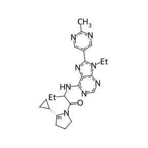 CCC(Nc1ncnc2c1nc(-c1cnc(C)nc1)n2CC)C(=O)N1CCC[C@@H]1C1CC1